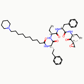 CC(C)C[C@H](NC(=O)[C@H](CCc1ccccc1)NC(=O)CCCCCCCCCN1CCCCC1)C(=O)N[C@@H](Cc1ccccc1)C(=O)N[C@@H](CC(C)C)C(=O)[C@@]1(C)CO1